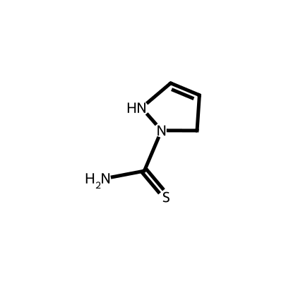 NC(=S)N1CC=CN1